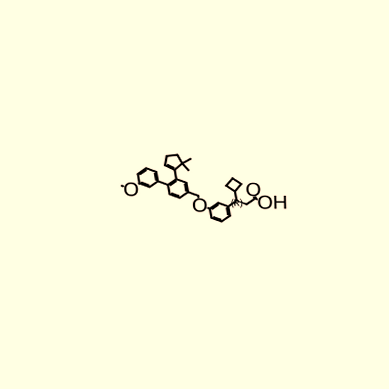 COc1cccc(-c2ccc(COc3cccc([C@H](CC(=O)O)C4CCC4)c3)cc2C2=CCCC2(C)C)c1